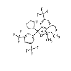 CC[Si](C)(C)OC(c1cc(CF)cc(C(F)(F)F)c1)(c1cc(C(F)(F)F)cc(C(F)(F)F)c1)[C@H]1CCCN1